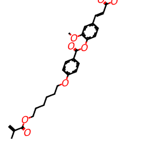 C=C(C)C(=O)OCCCCCCOc1ccc(C(=O)Oc2ccc(/C=C/C(=O)OC)cc2OC)cc1